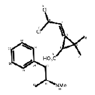 CC1(C)C(=CC(Cl)Cl)C1C(=O)O.CN[C@@H](C)Cc1ccccc1